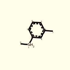 C[SiH2]c1cccc(C)c1